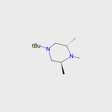 C[C@H]1CN(C(C)(C)C)C[C@H](C)N1C